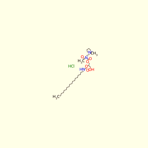 CCCCCCCCCCCCCCCCCCNC(=O)OC(CO)COC(=O)N(CC[N+]1(C)CCCC1)C(C)=O.Cl